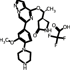 COc1cc(-c2cn3nccc3c(O[C@H](C)[C@H]3CNC(=O)C3)n2)ccc1N1CCNCC1.O=C(O)C(F)(F)F